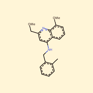 COCc1cc(NCc2ccccc2C)c2cccc(OC)c2n1